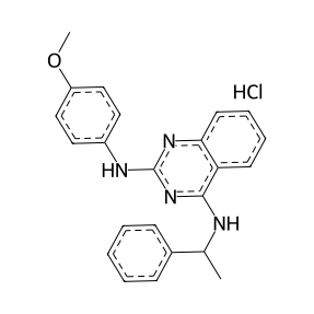 COc1ccc(Nc2nc(NC(C)c3ccccc3)c3ccccc3n2)cc1.Cl